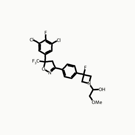 COCC(O)N1CC(F)(c2ccc(C3=NOC(c4cc(Cl)c(F)c(Cl)c4)(C(F)(F)F)C3)cc2)C1